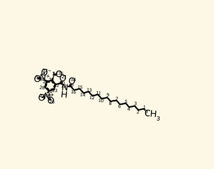 CCCCCCCCCCCCCCCCCC(=O)NC(=O)c1cc([N+](=O)[O-])cc([N+](=O)[O-])c1I=O